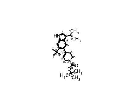 CC(C)c1c[nH]c2cc(C(F)(F)F)c(C3=CCN(C(=O)OC(C)(C)C)CC3)cc12